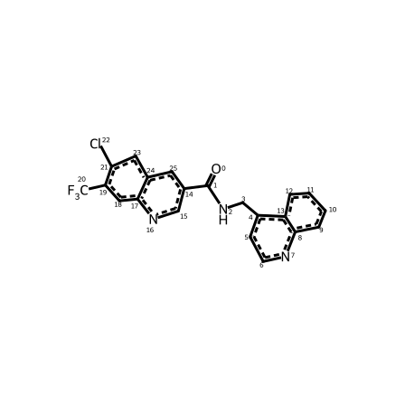 O=C(NCc1ccnc2ccccc12)c1cnc2cc(C(F)(F)F)c(Cl)cc2c1